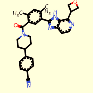 Cc1cc(C)c(-c2nc3ccnc(C4COC4)c3[nH]2)cc1C(=O)N1CCC(c2ccc(C#N)cc2)CC1